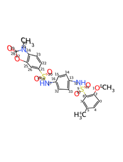 COc1ccc(C)cc1S(=O)(=O)Nc1ccc(NS(=O)(=O)c2ccc3c(c2)oc(=O)n3C)cc1